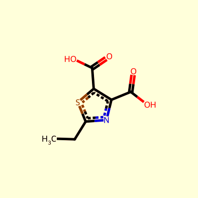 CCc1nc(C(=O)O)c(C(=O)O)s1